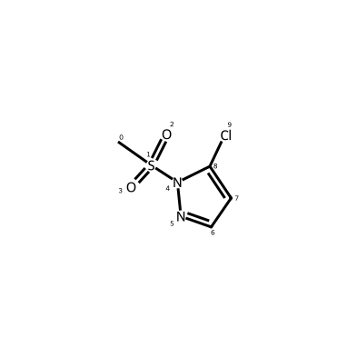 CS(=O)(=O)n1nccc1Cl